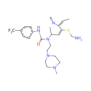 C=NC(=C/C)/C(=C\C(C)N(CCN1CCN(C)CC1)C(=O)Nc1ccc(C(F)(F)F)cc1)SCN